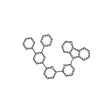 c1ccc(-c2ccc(-c3cccc(-c4cccc(-n5c6ccccc6c6ncccc65)n4)n3)cc2-c2ccccc2)cc1